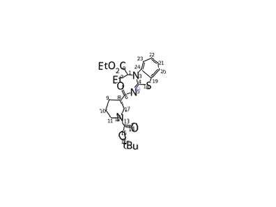 CCOC(=O)C(CC)n1/c(=N\C(=O)C2CCCN(C(=O)OC(C)(C)C)C2)sc2ccccc21